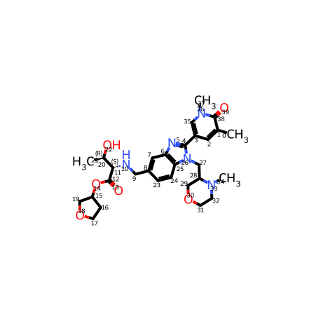 Cc1cc(-c2nc3cc(CN[C@H](C(=O)OC4CCOC4)[C@@H](C)O)ccc3n2CC2COCCN2C)cn(C)c1=O